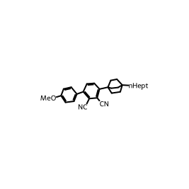 CCCCCCCC12CCC(c3ccc(-c4ccc(OC)cc4)c(C#N)c3C#N)(CC1)CC2